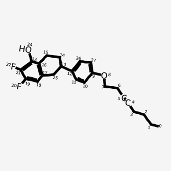 CCCCCCCCOc1ccc(C2CCc3c(cc(F)c(F)c3O)C2)cc1